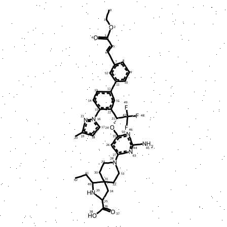 CCOC(=O)/C=C/c1cccc(-c2ccc(-n3ccc(C)n3)c([C@@H](Oc3cc(N4CCC5(CC4)CC(C(=O)O)NC5CC)nc(N)n3)C(F)(F)F)c2)c1